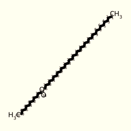 CCCCCCCCCCCCCCCCCCCCCCCCCCCCCCCCCCCCOC(=O)CCCCCCCCCCC